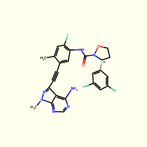 Cc1cc(F)c(NC(=O)N2OCC[C@@H]2c2cc(F)cc(F)c2)cc1C#Cc1nn(C)c2ncnc(N)c12